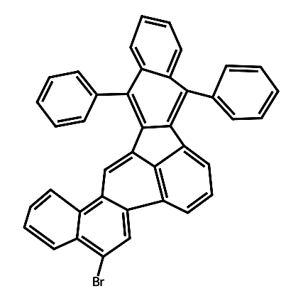 Brc1cc2c3cccc4c3c(cc2c2ccccc12)-c1c-4c(-c2ccccc2)c2ccccc2c1-c1ccccc1